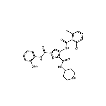 COc1ccccc1NC(=O)n1cc(NC(=O)c2c(Cl)cccc2Cl)c(C(=O)NC2CCNCC2)n1